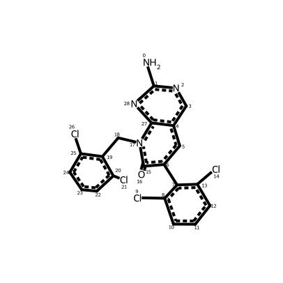 Nc1ncc2cc(-c3c(Cl)cccc3Cl)c(=O)n(Cc3c(Cl)cccc3Cl)c2n1